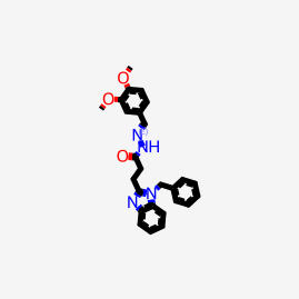 COc1ccc(/C=N/NC(=O)CCc2nc3ccccc3n2Cc2ccccc2)cc1OC